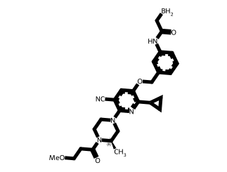 BCC(=O)Nc1cccc(COc2cc(C#N)c(N3CCN(C(=O)CCOC)[C@H](C)C3)nc2C2CC2)c1